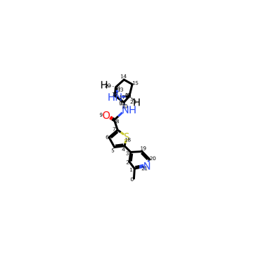 Cc1cc(-c2ccc(C(=O)N[C@@H]3C[C@H]4CC[C@@H]3N4)s2)ccn1